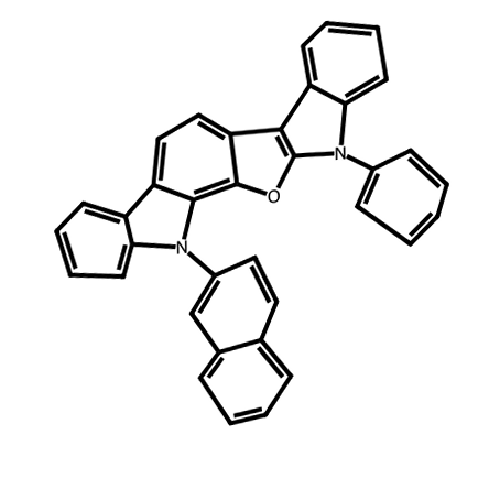 c1ccc(-n2c3ccccc3c3c4ccc5c6ccccc6n(-c6ccc7ccccc7c6)c5c4oc32)cc1